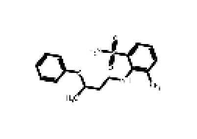 CC(CCNc1c(C(F)(F)F)cccc1S(N)(=O)=O)Sc1ccccc1